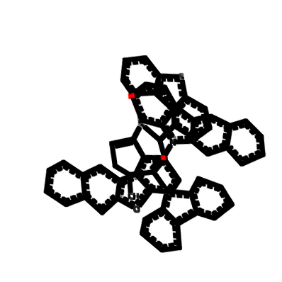 CC1C/C=C(\c2c(-n3c4ccccc4c4cc5ccccc5cc43)ccc3oc4cc5ccccc5cc4c23)NC(c2cccc3sc4ccccc4c23)/N=C\1n1c2ccccc2c2ccccc21